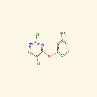 O=[N+]([O-])c1cccc(Oc2nc(Cl)ncc2Cl)c1